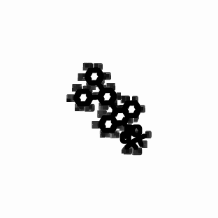 CC1(C)OB(c2c3ccccc3c(-c3ccc(-c4ccccc4)c(-c4ccccc4)c3)c3ccccc23)OC1(C)C